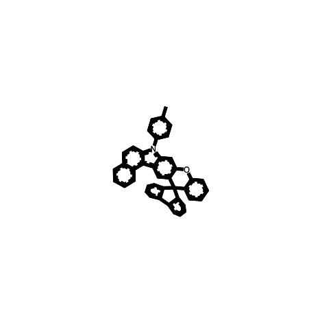 Cc1ccc(-n2c3cc4c(cc3c3c5ccccc5ccc32)C2(c3ccccc3O4)c3ccccc3-c3ccccc32)cc1